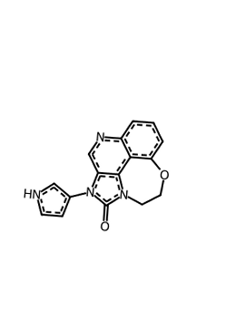 O=c1n2c3c4c(cccc4ncc3n1-c1cc[nH]c1)OCC2